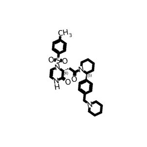 Cc1ccc(S(=O)(=O)N2C=CNC(=O)[C@H]2CC(=O)N2CCCC[C@H]2c2ccc(CN3CCCCC3)cc2)cc1